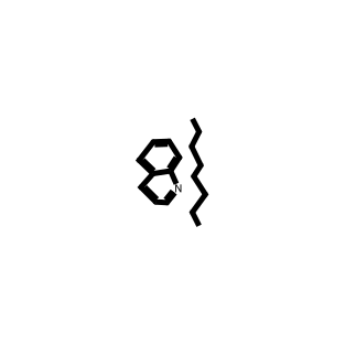 CCCCCCCC.c1ccc2ncccc2c1